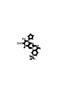 CCC1C(C=O)N(C)c2cnc(NC(C)C3CCN(S(C)(=O)=O)CC3)nc2N1C1CCCC1